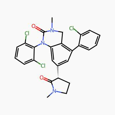 CN1CC[C@@H](c2cc(-c3ccccc3Cl)c3c(c2)N(c2c(Cl)cccc2Cl)C(=O)N(C)C3)C1=O